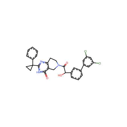 O=C(C(O)c1cccc(-c2cc(Cl)cc(Cl)c2)c1)N1CCc2nc(C3(c4ccccc4)CC3)[nH]c(=O)c2C1